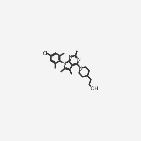 Cc1nc(N2CCC(CCO)CC2)c2c(C)c(C)n(-c3c(C)cc(Cl)cc3C)c2n1